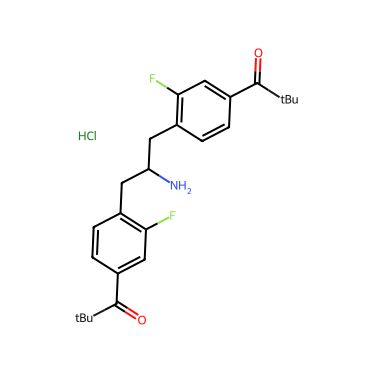 CC(C)(C)C(=O)c1ccc(CC(N)Cc2ccc(C(=O)C(C)(C)C)cc2F)c(F)c1.Cl